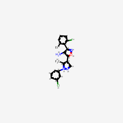 CCc1cccc(F)c1-c1noc(-c2cnn(-c3cccc(Cl)c3)c2C(F)(F)F)c1N